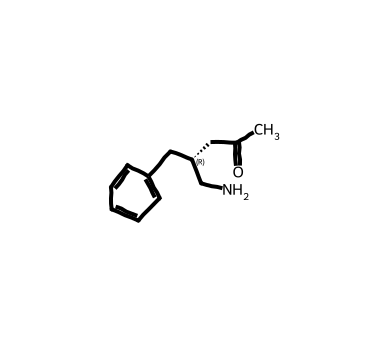 CC(=O)C[C@H](CN)Cc1ccccc1